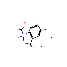 CC(C)(C)OC(=O)[N+]1(C)NC(=O)c2cc([N+](=O)[O-])ccc21